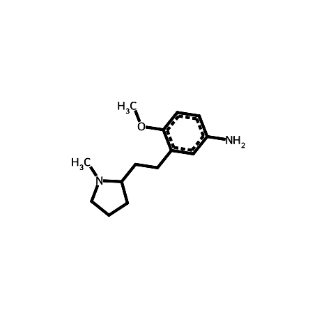 COc1ccc(N)cc1CCC1CCCN1C